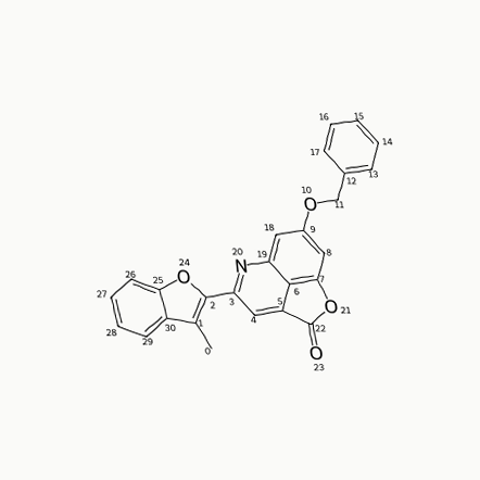 Cc1c(-c2cc3c4c(cc(OCc5ccccc5)cc4n2)OC3=O)oc2ccccc12